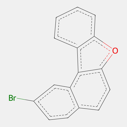 Brc1ccc2ccc3oc4ccccc4c3c2c1